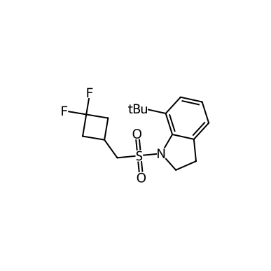 CC(C)(C)c1cccc2c1N(S(=O)(=O)CC1CC(F)(F)C1)CC2